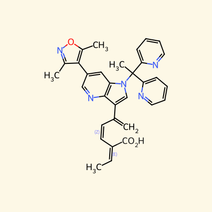 C=C(/C=C\C(=C/C)C(=O)O)c1cn(C(C)(c2ccccn2)c2ccccn2)c2cc(-c3c(C)noc3C)cnc12